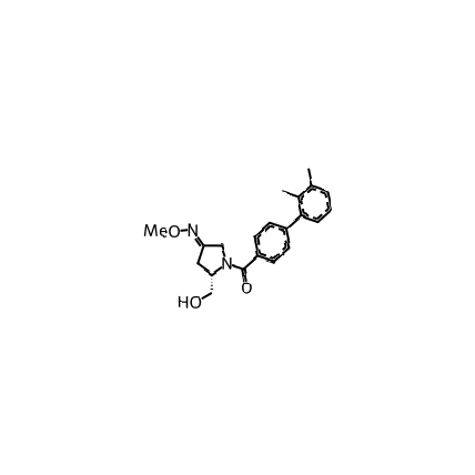 CO/N=C1\C[C@@H](CO)N(C(=O)c2ccc(-c3cccc(C)c3C)cc2)C1